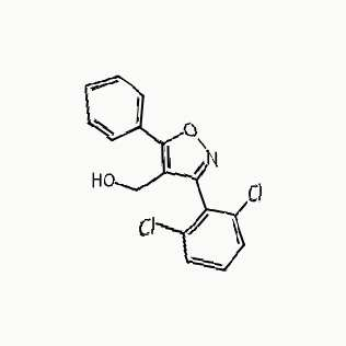 OCc1c(-c2c(Cl)cccc2Cl)noc1-c1ccccc1